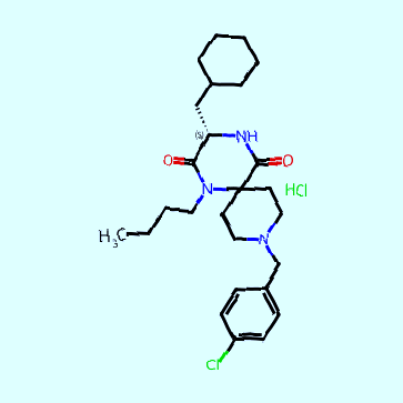 CCCCN1C(=O)[C@H](CC2CCCCC2)NC(=O)C12CCN(Cc1ccc(Cl)cc1)CC2.Cl